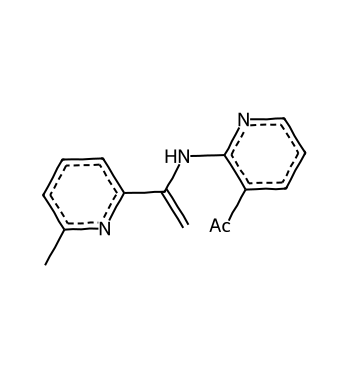 C=C(Nc1ncccc1C(C)=O)c1cccc(C)n1